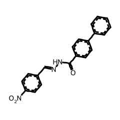 O=C(NN=Cc1ccc([N+](=O)[O-])cc1)c1ccc(-c2ccccc2)cc1